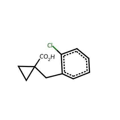 O=C(O)C1(Cc2ccccc2Cl)CC1